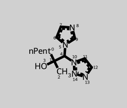 CCCCCC(C)(O)C(n1ccnc1)n1ccnn1